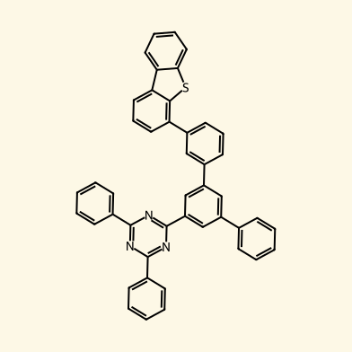 c1ccc(-c2cc(-c3cccc(-c4cccc5c4sc4ccccc45)c3)cc(-c3nc(-c4ccccc4)nc(-c4ccccc4)n3)c2)cc1